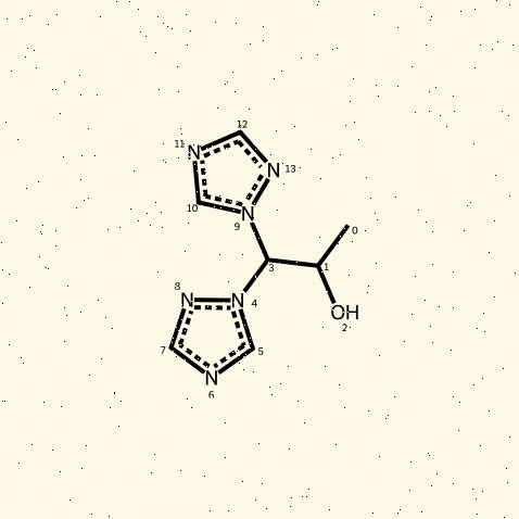 CC(O)C(n1cncn1)n1cncn1